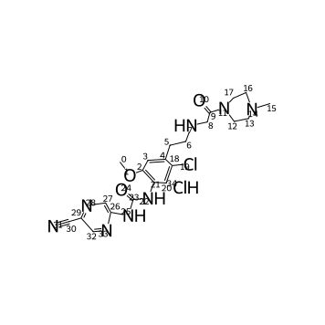 COc1cc(CCNCC(=O)N2CCN(C)CC2)c(Cl)cc1NC(=O)Nc1cnc(C#N)cn1.Cl